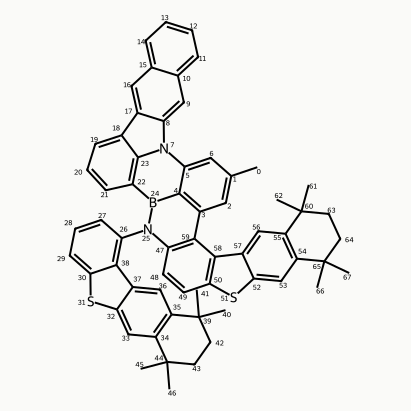 Cc1cc2c3c(c1)-n1c4cc5ccccc5cc4c4cccc(c41)B3N(c1cccc3sc4cc5c(cc4c13)C(C)(C)CCC5(C)C)c1ccc3sc4cc5c(cc4c3c1-2)C(C)(C)CCC5(C)C